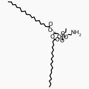 CCCCCCCCCCCCCCCCCC(=O)OC[C@H](COP(=O)(OCC)OCCN)OC(=O)CCCCCCCCCCCCCCCCC